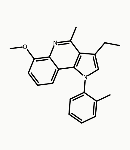 CCc1cn(-c2ccccc2C)c2c1c(C)nc1c(OC)cccc12